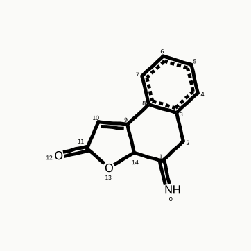 N=C1Cc2ccccc2C2=CC(=O)OC12